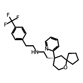 FC(F)(F)c1ccc(CCNCC[C@@]2(c3ccccn3)CCOC3(CCCC3)C2)cc1